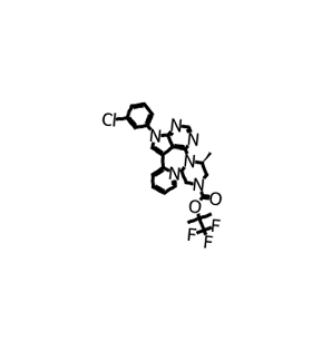 C[C@H]1CN(C(=O)OC(C)(C)C(F)(F)F)CCN1c1ncnc2c1c(-c1ccccn1)cn2-c1cccc(Cl)c1